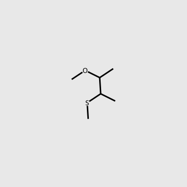 COC(C)C(C)SC